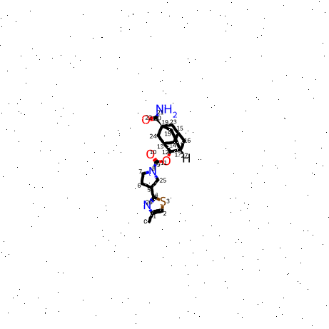 Cc1csc(C2CCN(C(=O)OC3C4CC5C[C@H]3C[C@@](C(N)=O)(C5)C4)C2)n1